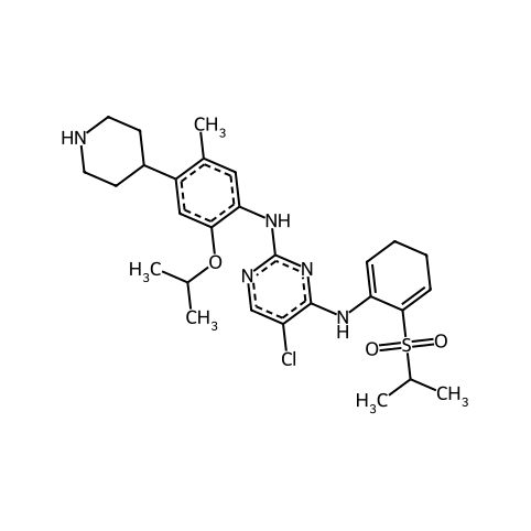 Cc1cc(Nc2ncc(Cl)c(NC3=CCCC=C3S(=O)(=O)C(C)C)n2)c(OC(C)C)cc1C1CCNCC1